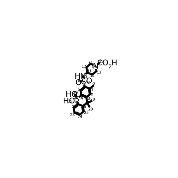 Cc1cc2c(cc1S(=O)(=O)NC1CCN(C(=O)O)CC1)S(O)(O)c1ccccc1C2(C)C